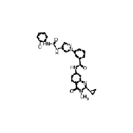 Cn1c(C2CC2)nc2cc(NC(=O)c3cccc(-n4cc(NC(=O)Nc5ccccc5Cl)cn4)c3)ccc2c1=O